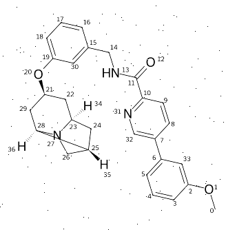 COc1cccc(-c2ccc(C(=O)NCc3cccc(O[C@H]4C[C@H]5C[C@@H]6CN5[C@@H]6C4)c3)nc2)c1